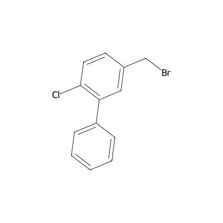 Clc1ccc(CBr)cc1-c1ccccc1